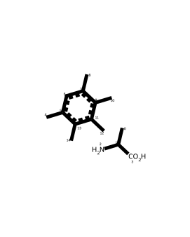 CC(N)C(=O)O.Cc1cc(C)c(C)c(C)c1C